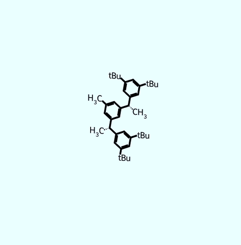 Cc1cc([C@@H](C)c2cc(C(C)(C)C)cc(C(C)(C)C)c2)cc([C@@H](C)c2cc(C(C)(C)C)cc(C(C)(C)C)c2)c1